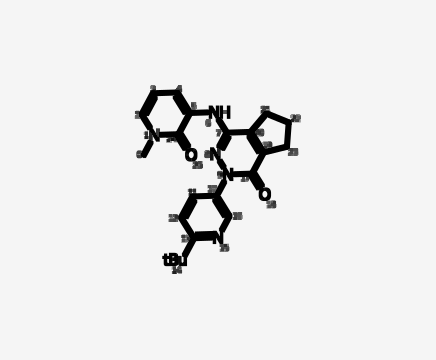 Cn1cccc(Nc2nn(-c3ccc(C(C)(C)C)nc3)c(=O)c3c2CCC3)c1=O